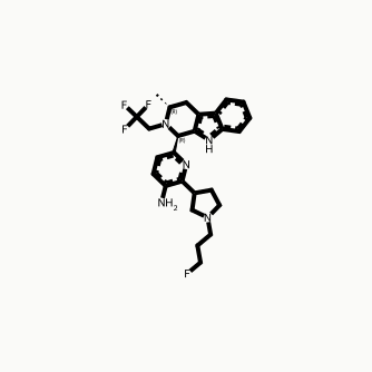 C[C@@H]1Cc2c([nH]c3ccccc23)[C@@H](c2ccc(N)c(C3CCN(CCCF)C3)n2)N1CC(F)(F)F